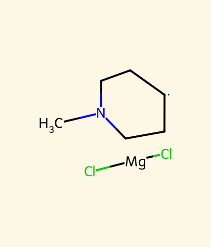 CN1CC[CH]CC1.[Cl][Mg][Cl]